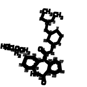 CCN(CC)CC1CCCN(CC(=O)N2c3ccccc3NC(=O)c3ccccc32)C1.Cl.Cl.O.O